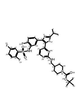 CC(C)c1nc(-c2ccc(F)c(NS(=O)(=O)c3cc(F)ccc3F)c2)c(-c2ccnc(NCC3CCN(C(=O)OC(C)(C)C)CC3)n2)s1